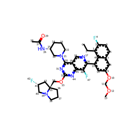 CCc1c(F)ccc2cc(OCOC)cc(-c3ncc4c(N5CCC[C@@H](NC(C)=O)C5)nc(OC[C@@]56CCCN5C[C@H](F)C6)nc4c3F)c12